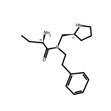 CC[C@@H](N)C(=O)N(CCc1ccccc1)C[C@@H]1CCCN1